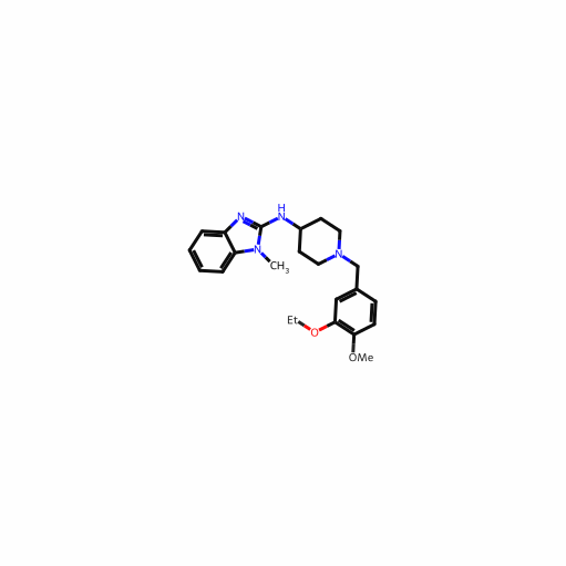 CCOc1cc(CN2CCC(Nc3nc4ccccc4n3C)CC2)ccc1OC